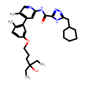 CCC(O)(CC)CCCOc1ccc(C)c(-c2cc(NC(=O)c3nnc(CC4CCCCC4)[nH]3)ncc2C)c1